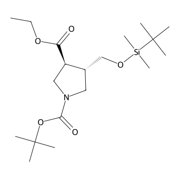 CCOC(=O)[C@@H]1CN(C(=O)OC(C)(C)C)C[C@H]1CO[Si](C)(C)C(C)(C)C